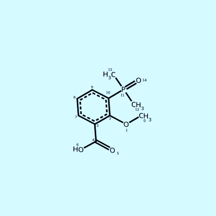 COc1c(C(=O)O)cccc1P(C)(C)=O